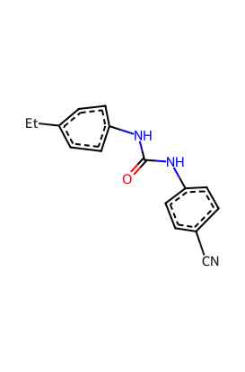 CCc1ccc(NC(=O)Nc2ccc(C#N)cc2)cc1